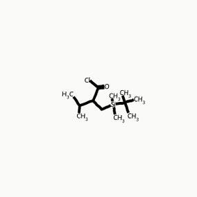 CC(C)C(C[Si](C)(C)C(C)(C)C)C(=O)Cl